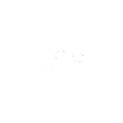 O=C1OC(c2cccc3occc23)=NC1=CN1CCN(C2=NCCN2)CC1